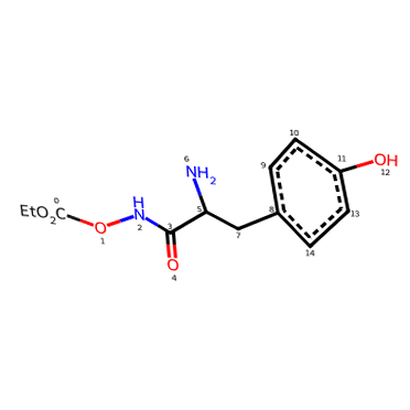 CCOC(=O)ONC(=O)C(N)Cc1ccc(O)cc1